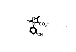 CC1OC(=O)N(c2cccc(C#N)c2)C1C(=O)O